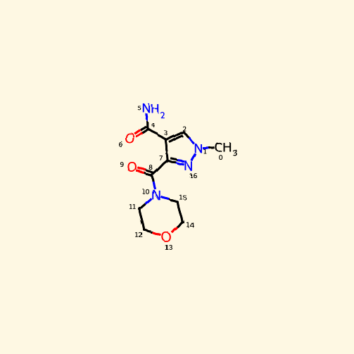 Cn1cc(C(N)=O)c(C(=O)N2CCOCC2)n1